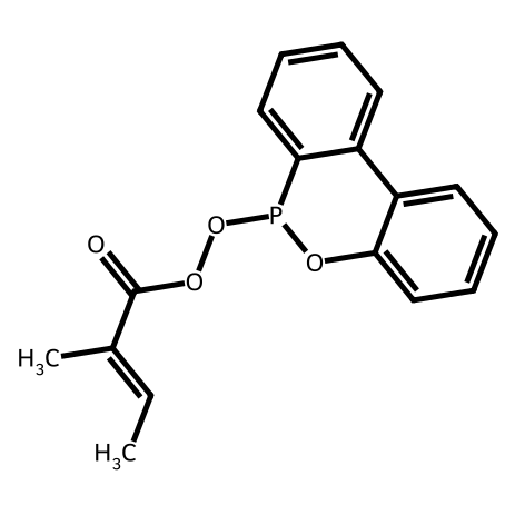 CC=C(C)C(=O)OOP1Oc2ccccc2-c2ccccc21